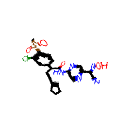 CS(=O)(=O)c1ccc(C(CC2CCCC2)C(=O)Nc2cnc(C(C#N)=NO)cn2)cc1Cl